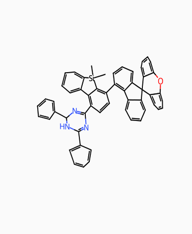 C[Si]1(C)c2ccccc2-c2c(C3=NC(c4ccccc4)NC(c4ccccc4)=N3)ccc(-c3cccc4c3-c3ccccc3C43c4ccccc4Oc4ccccc43)c21